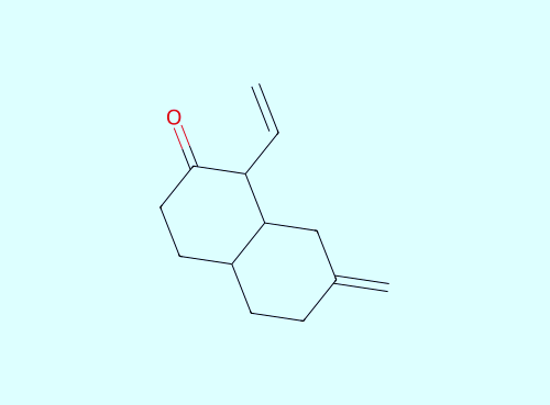 C=CC1C(=O)CCC2CCC(=C)CC21